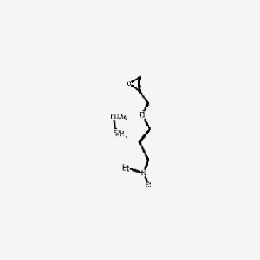 CCN(CC)CCCOCC1CO1.CO[SiH3]